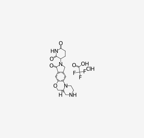 Cl.O=C(O)C(F)(F)F.O=C1CCC(N2Cc3cc4c(cc3C2=O)OC[C@@H]2CNCCN42)C(=O)N1